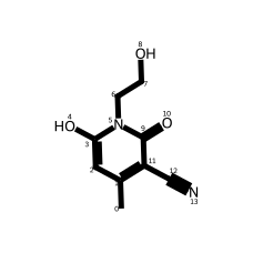 Cc1cc(O)n(CCO)c(=O)c1C#N